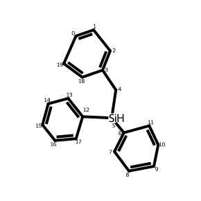 c1ccc(C[SiH](c2ccccc2)c2ccccc2)cc1